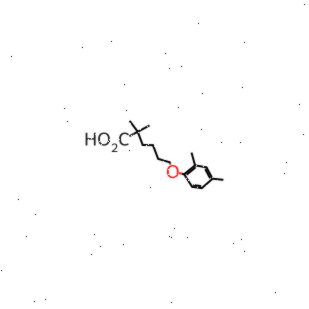 Cc1ccc(OCCCCC(C)(C)C(=O)O)c(C)c1